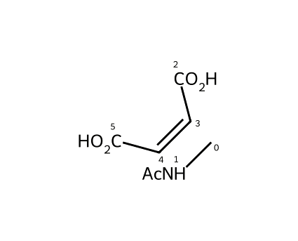 CNC(C)=O.O=C(O)/C=C\C(=O)O